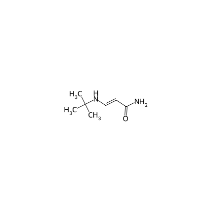 CC(C)(C)NC=CC(N)=O